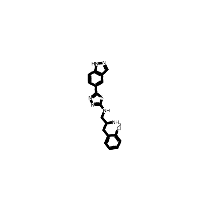 NC(CNc1nnc(-c2ccc3[nH]ncc3c2)s1)Cc1ccccc1Cl